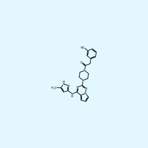 Cc1cc(Nc2nc(N3CCN(C(=O)Cc4cccc(C#N)c4)CC3)nn3cccc23)n[nH]1